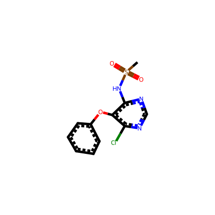 CS(=O)(=O)Nc1ncnc(Cl)c1Oc1ccccc1